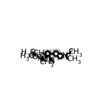 CCCN(CC)c1ccc2cc(-c3cccc(OC(C)(C)CCOC(C)(C)C)c3C#N)ccc2c1